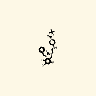 CC(C)(C)OC(=O)N1CCC(NCCN(Cc2cc(F)c(Br)cc2F)C(=O)OCc2ccccc2)CC1